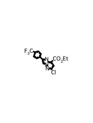 CCOC(=O)c1cc(Cl)nn2cc(-c3ccc(C(F)(F)F)cc3)nc12